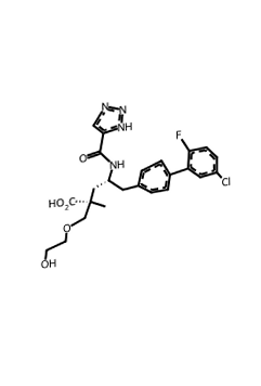 C[C@@](COCCO)(C[C@@H](Cc1ccc(-c2cc(Cl)ccc2F)cc1)NC(=O)c1cnn[nH]1)C(=O)O